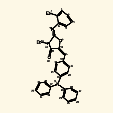 CCc1ccccc1N=C1O/C(=C/c2ccc(N(c3ccccc3)c3ccccc3)cc2)C(=O)N1CC